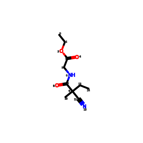 CCOC(=O)CNC(=O)C(C)(C#N)CC